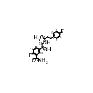 CC(CCc1ccc(F)cc1)NCC(O)c1ccc(F)c(C(N)=O)c1